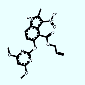 C=CCOC(=O)c1c(Oc2nc(OC)cc(OC)n2)ccc2[nH]c(C)c([N+](=O)[O-])c12